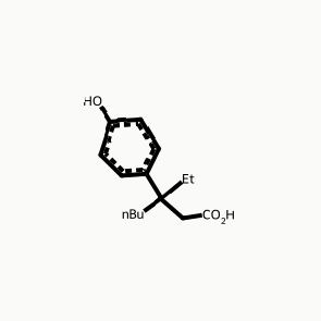 CCCCC(CC)(CC(=O)O)c1ccc(O)cc1